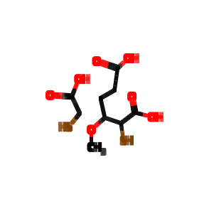 COC(CCC(=O)O)C(S)C(=O)O.O=C(O)CS